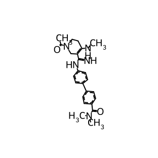 CNC1=C(C(=N)Nc2ccc(-c3ccc(C(=O)N(C)C)cc3)cc2)CN(C(C)=O)CC1